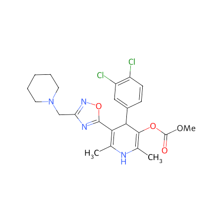 COC(=O)OC1=C(C)NC(C)=C(c2nc(CN3CCCCC3)no2)C1c1ccc(Cl)c(Cl)c1